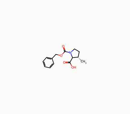 C[C@H]1CCN(C(=O)OCc2ccccc2)C1C(=O)O